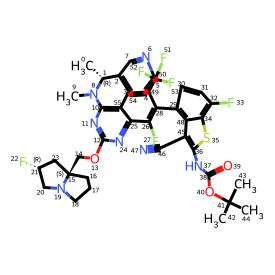 C[C@H](c1cccnc1)N(C)c1nc(OC[C@@]23CCCN2C[C@H](F)C3)nc2c(F)c(-c3ccc(F)c4sc(NC(=O)OC(C)(C)C)c(C#N)c34)c(C(F)(F)F)cc12